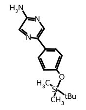 CC(C)(C)[Si](C)(C)Oc1ccc(-c2cnc(N)cn2)cc1